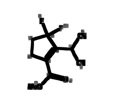 COC(=O)C1=C(C(C#N)C#N)C(F)(F)CC1